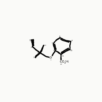 C=CC(C)(C)Oc1ccccc1C(=O)O